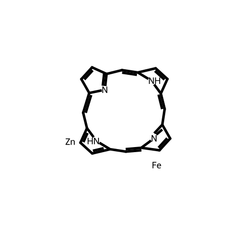 C1=Cc2cc3ccc(cc4nc(cc5ccc(cc1n2)[nH]5)C=C4)[nH]3.[Fe].[Zn]